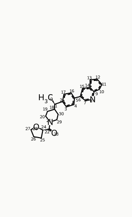 C[C@@H](c1ccc(-c2cnc3ccccc3c2)cc1)C1CCN(C(=O)[C@H]2CCCO2)CC1